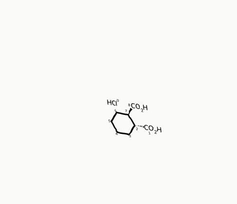 Cl.O=C(O)[C@@H]1CCCC[C@H]1C(=O)O